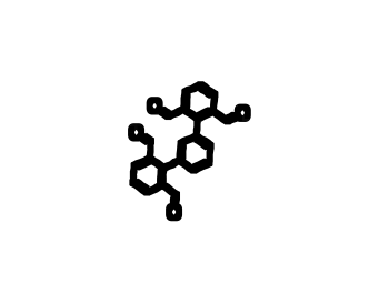 O=Cc1cccc(C=O)c1-c1cccc(-c2c(C=O)cccc2C=O)c1